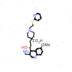 COc1ccc2ncc(CN)c([C@H](O)CCC3(C(=O)O)CCN(CCSc4ccccn4)CC3)c2c1